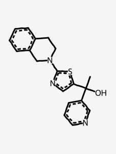 CC(O)(c1cccnc1)c1cnc(N2CCc3ccccc3C2)s1